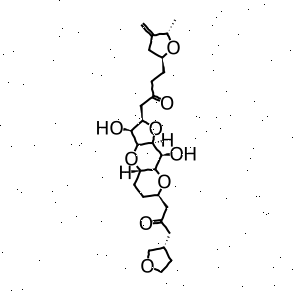 C=C1C[C@H](CCC(=O)C[C@H]2O[C@@H]3C(O[C@H]4CC[C@H](CC(=O)C[C@@H]5CCOC5)OC4[C@@H]3O)[C@H]2O)O[C@H]1C